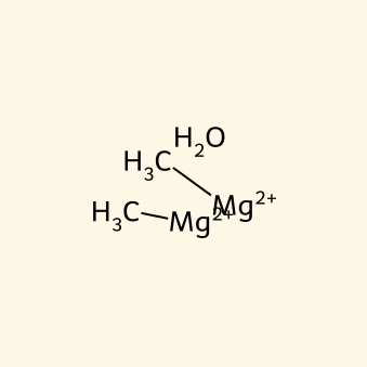 O.[CH3][Mg+2].[CH3][Mg+2]